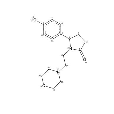 O=C1CCC(c2ccc(O)cc2)N1CCN1CCOCC1